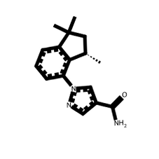 C[C@H]1CC(C)(C)c2cccc(-n3cc(C(N)=O)cn3)c21